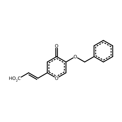 O=C(O)C=Cc1cc(=O)c(OCc2ccccc2)co1